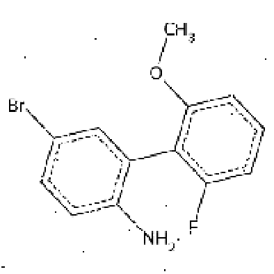 COc1cccc(F)c1-c1cc(Br)ccc1N